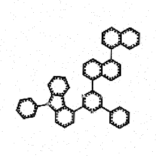 c1ccc(-c2nc(-c3cccc4c(-c5cccc6ccccc56)cccc34)nc(-c3cccc4c3c3ccccc3n4-c3ccccc3)n2)cc1